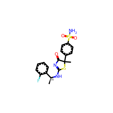 C[C@H](NC1=NC(=O)C(C)(c2ccc(S(N)(=O)=O)cc2)S1)c1ccccc1F